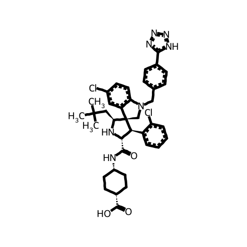 CC(C)(C)C[C@@H]1N[C@@H](C(=O)N[C@H]2CC[C@@H](C(=O)O)CC2)[C@H](c2ccccc2Cl)[C@]12CN(Cc1ccc(-c3nnn[nH]3)cc1)c1ccc(Cl)cc12